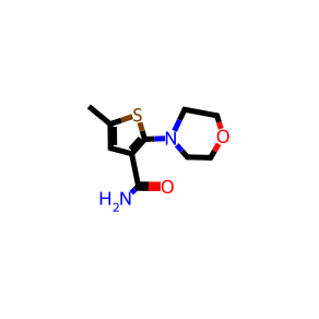 Cc1cc(C(N)=O)c(N2CCOCC2)s1